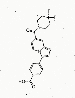 O=C(O)c1ccc(-c2cnc3cc(C(=O)N4CCC(F)(F)CC4)ccn23)cc1